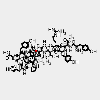 CC[C@H](C)[C@H](NC(=O)[C@@H](NC(=O)[C@@H](NC(=O)[C@@H](NC(=O)[C@H](CCCNC(=N)N)NC(=O)[C@H](Cc1ccc(O)cc1)NC(=O)[C@@H](NC(=O)[C@@H](N)Cc1ccc(O)cc1)[C@@H](C)O)[C@@H](C)O)[C@@H](C)O)[C@@H](C)O)C(=O)N1CCC[C@H]1C(=O)N[C@@H](Cc1c[nH]cn1)C(=O)N[C@@H](CCC(=O)O)C(=O)N[C@@H](Cc1ccc(O)cc1)C(=O)N[C@@H](CC(C)C)C(=O)N[C@@H](C)C(=O)O